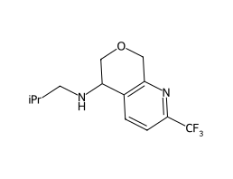 CC(C)CNC1COCc2nc(C(F)(F)F)ccc21